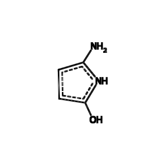 Nc1ccc(O)[nH]1